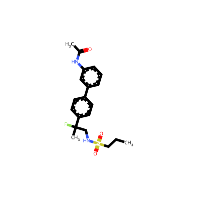 CCCS(=O)(=O)NCC(C)(F)c1ccc(-c2cccc(NC(C)=O)c2)cc1